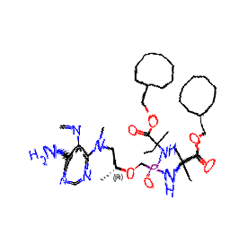 C=Nc1c(N)ncnc1N(C)C[C@@H](C)OCP(=O)(NC(C)(C)C(=O)OCC1CCCCCCC1)NC(C)(C)C(=O)OCC1CCCCCCC1